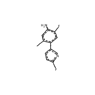 Cc1cc(N)c(F)cc1-c1ccc(F)nc1